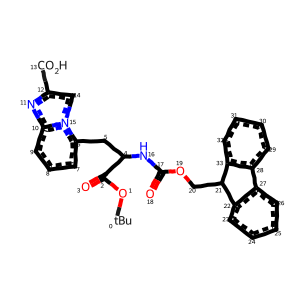 CC(C)(C)OC(=O)C(Cc1cccc2nc(C(=O)O)cn12)NC(=O)OCC1c2ccccc2-c2ccccc21